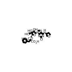 C#C[C@@]1(O)[C@@H](COC(Cc2ccccc2)(C(=O)O)C(=O)O)O[C@@H](n2cnc3c(NC4CCOC4)nc(Cl)nc32)[C@@H]1O